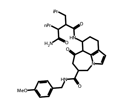 CCCC(C(N)=O)C(CC(C)C)C(=O)NC1CCc2ccn3c2C1C(=O)CC(C(=O)NCc1ccc(OC)cc1)C3